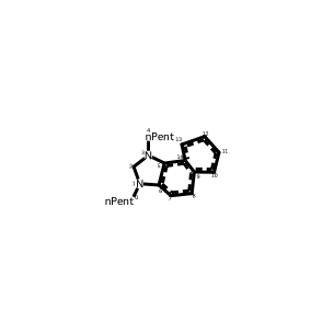 CCCCCN1CN(CCCCC)c2c1ccc1ccccc21